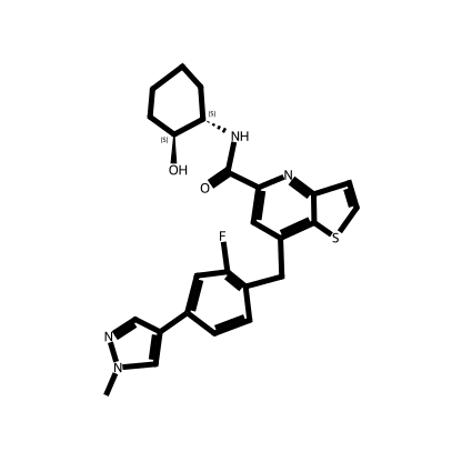 Cn1cc(-c2ccc(Cc3cc(C(=O)N[C@H]4CCCC[C@@H]4O)nc4ccsc34)c(F)c2)cn1